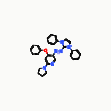 c1ccc(Oc2cc(N3CCCC3)ncc2/N=N/c2n(-c3ccccc3)cc[n+]2-c2ccccc2)cc1